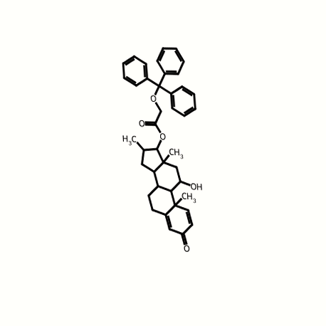 CC1CC2C3CCC4=CC(=O)C=CC4(C)C3C(O)CC2(C)C1OC(=O)COC(c1ccccc1)(c1ccccc1)c1ccccc1